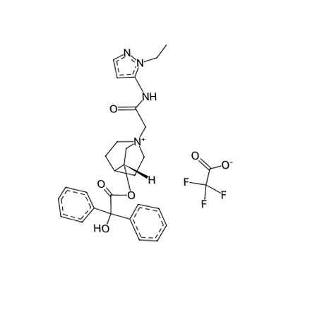 CCn1nccc1NC(=O)C[N+]12CCC(CC1)[C@@H](OC(=O)C(O)(c1ccccc1)c1ccccc1)C2.O=C([O-])C(F)(F)F